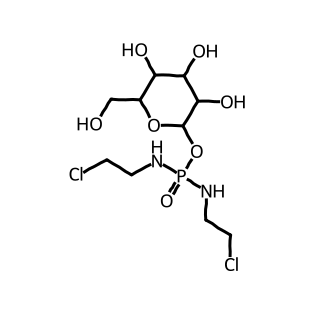 O=P(NCCCl)(NCCCl)OC1OC(CO)C(O)C(O)C1O